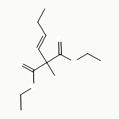 CC/C=C/C(C)(C(=O)OCC)C(=O)OCC